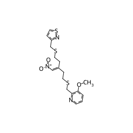 COc1cccnc1CSCCC(=C[N+](=O)[O-])CCSCc1ccsn1